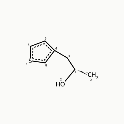 C[C@H](O)Cc1ccsc1